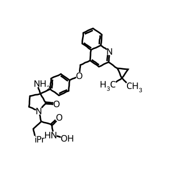 CC(C)CC(C(=O)NO)N1CCC(N)(c2ccc(OCc3cc(C4CC4(C)C)nc4ccccc34)cc2)C1=O